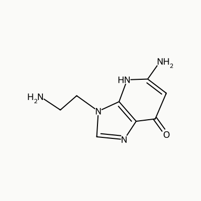 NCCn1cnc2c(=O)cc(N)[nH]c21